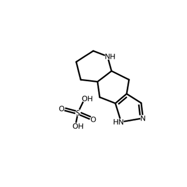 O=S(=O)(O)O.c1n[nH]c2c1CC1NCCCC1C2